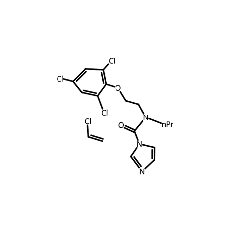 C=CCl.CCCN(CCOc1c(Cl)cc(Cl)cc1Cl)C(=O)n1ccnc1